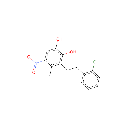 Cc1c([N+](=O)[O-])cc(O)c(O)c1CCc1ccccc1Cl